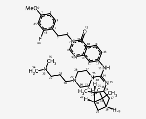 COc1ccc(CCn2cnc3cc(N/C(=N/C4C[C@@H]5C[C@H]([C@@H]4C)C5(C)C)N4CCN(CCCN(C)C)CC4)ccc3c2=O)c(F)c1